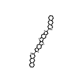 c1ccc2cc3cc(-c4cc5cc6c(cc5s4)sc4c5cc7cc(-c8cc9cc%10ccccc%10cc9cn8)sc7cc5sc64)ncc3cc2c1